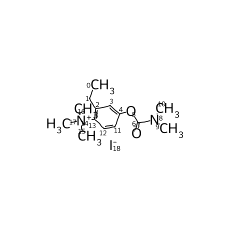 CCc1cc(OC(=O)N(C)C)ccc1[N+](C)(C)C.[I-]